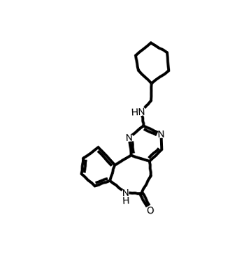 O=C1Cc2cnc(NCC3CCCCC3)nc2-c2ccccc2N1